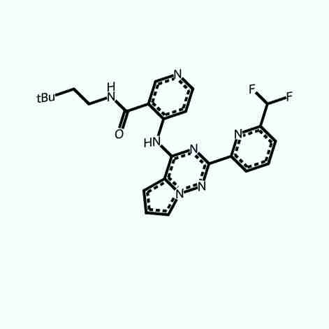 CC(C)(C)CCNC(=O)c1cnccc1Nc1nc(-c2cccc(C(F)F)n2)nn2cccc12